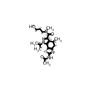 CC(=O)Nc1nc2c(s1)-c1c(c(C(=O)N(C)CCCO)nn1C(C)C)C(C)C2